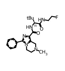 CN1CCn2c(-c3ccccc3)nc(C(=O)N[C@H](C(=O)NCCF)C(C)(C)C)c2C1